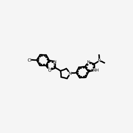 CN(C)c1nc2cc(N3CCC(c4nc5ccc(Cl)cc5o4)C3)ccc2[nH]1